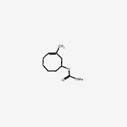 COC(=O)OC1CCCCC=C(C)C1